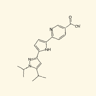 CC(C)c1cc(-c2ccc(-c3ccc(C(=O)O)cn3)[nH]2)nn1C(C)C